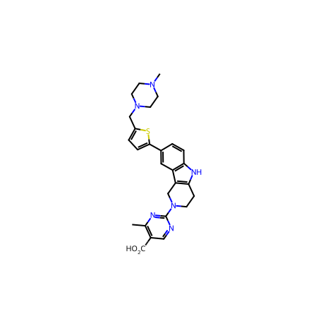 Cc1nc(N2CCc3[nH]c4ccc(-c5ccc(CN6CCN(C)CC6)s5)cc4c3C2)ncc1C(=O)O